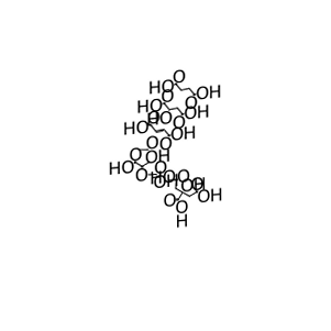 CC(=O)C(=O)O.CC(=O)O.CC(=O)O.O=C(O)C=CC(=O)O.O=C(O)CC(O)(CC(=O)O)C(=O)O.O=C(O)CC(O)C(=O)O.O=C(O)CCC(=O)O